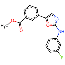 COC(=O)c1cccc(-c2cnc(Nc3cccc(F)c3)o2)c1